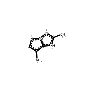 Cc1nn2ncc(N)c2[nH]1